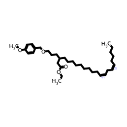 CCCCC/C=C\C/C=C\CCCCCCCCCC(CCCOCc1ccc(OC)cc1)CC(=O)OCC